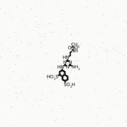 CS(=O)(=O)NCCNc1nc(N)nc(Nc2cc(S(=O)(=O)O)c3cc(S(=O)(=O)O)ccc3c2)n1